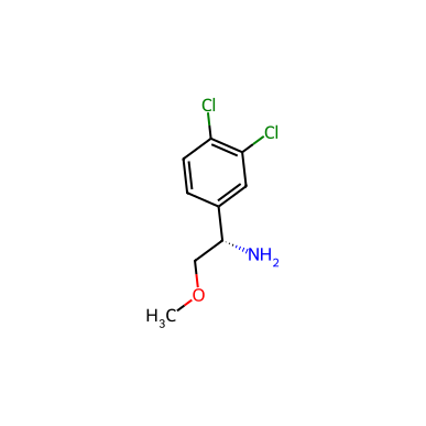 COC[C@@H](N)c1ccc(Cl)c(Cl)c1